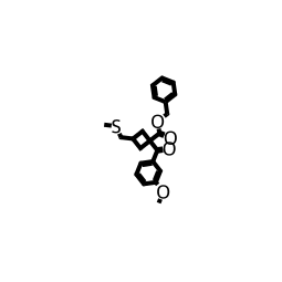 COc1cccc(C(=O)C2(C(=O)OCc3ccccc3)CC(CSC)C2)c1